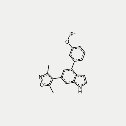 Cc1noc(C)c1-c1cc(-c2cccc(OC(C)C)c2)c2cc[nH]c2c1